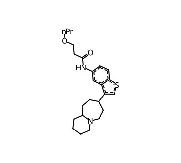 CCCOCCC(=O)Nc1ccc2scc(C3CCC4CCCCN4CC3)c2c1